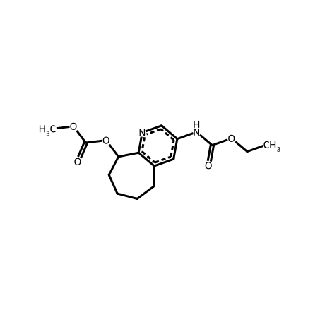 CCOC(=O)Nc1cnc2c(c1)CCCCC2OC(=O)OC